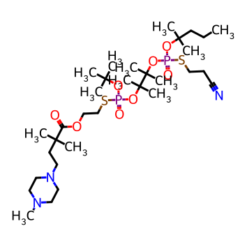 CCCC(C)(C)OP(=O)(OC(C)(C)C(C)(C)OP(=O)(OC(C)(C)C)SCCOC(=O)C(C)(C)CCN1CCN(C)CC1)SCCC#N